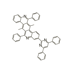 Cc1c2c(-c3ccccc3)nc3cc(-c4nc(-c5ccccc5)cc(-c5ccccc5)n4)ccc3c2c(C)c2c(-c3ccccc3)nc3ccccc3c12